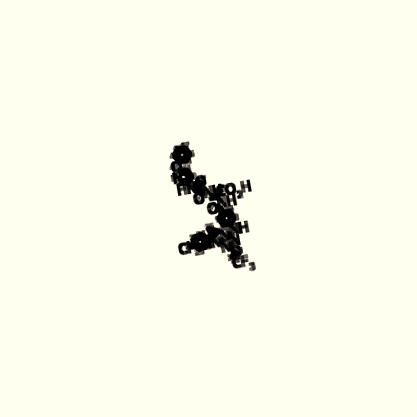 O=C(NC[C@H](NC(=O)c1ccc(Nc2nc(NC3(c4ccc(Cl)cc4)CC3)nc(OCC(F)(F)F)n2)cc1)C(=O)O)C(=O)Nc1ccc(Oc2ccccc2)nc1